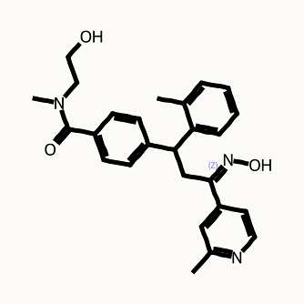 Cc1cc(/C(CC(c2ccc(C(=O)N(C)CCO)cc2)c2ccccc2C)=N\O)ccn1